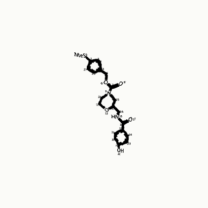 CSc1ccc(COC(=O)N2CCOC(CNC(=O)c3ccc(O)cc3)C2)cc1